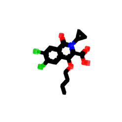 CCCCOc1c(C(=O)O)n(C2CC2)c(=O)c2cc(Cl)c(Cl)cc12